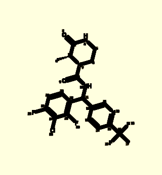 C[C@@H]1C(=O)NCCN1C(=O)NC(c1ccc(C(C)(F)F)nc1)c1ccc(F)c(Cl)c1F